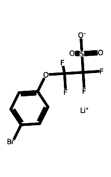 O=S(=O)([O-])C(F)(F)C(F)(F)Oc1ccc(Br)cc1.[Li+]